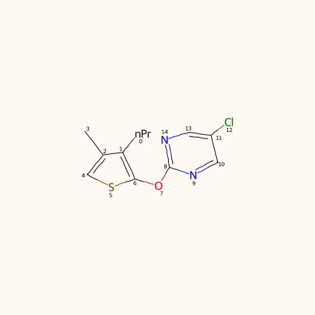 CCCc1c(C)csc1Oc1ncc(Cl)cn1